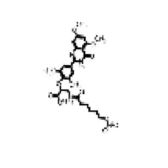 COc1cc(OC)c2c(=O)[nH]c(-c3cc(C)c(OC(CNC(=O)CCCCCO[N+](=O)[O-])C(=O)O)c(C)c3)nc2c1